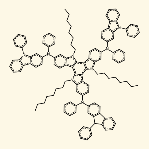 CCCCCCCCn1c2cc(N(c3ccccc3)c3ccc4c(c3)C(c3ccccc3)c3ccccc3-4)ccc2c2c1c1c3ccc(N(c4ccccc4)c4ccc5c6ccccc6n(-c6ccccc6)c5c4)cc3n(CCCCCCCC)c1c1c3ccc(N(c4ccccc4)c4ccc5c6ccccc6n(-c6ccccc6)c5c4)cc3n(CCCCCCCC)c21